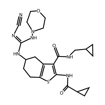 N#CN=C(NC1CCc2sc(NC(=O)C3CC3)c(C(=O)NCC3CC3)c2C1)NN1CCOCC1